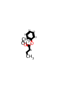 CC.CCCC(=O)Oc1ccccc1